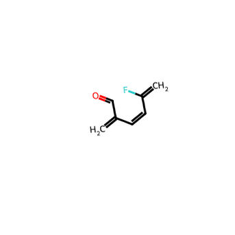 C=C(F)/C=C\C(=C)C=O